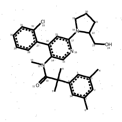 Cc1cc(C)cc(C(C)(C)C(=O)N(C)c2cnc(N3CCCC3CO)cc2-c2ccccc2Cl)c1